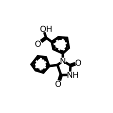 O=C(O)c1cccc(N2C(=O)NC(=O)C2c2ccccc2)c1